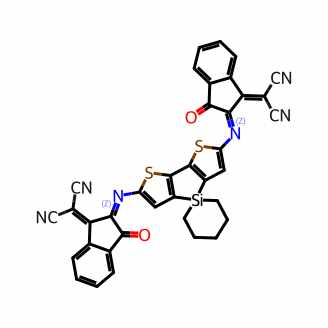 N#CC(C#N)=C1/C(=N/c2cc3c(s2)-c2sc(/N=C4\C(=O)c5ccccc5C4=C(C#N)C#N)cc2[Si]32CCCCC2)C(=O)c2ccccc21